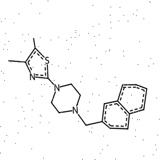 Cc1nc(N2CCN(Cc3ccc4ccccc4c3)CC2)sc1C